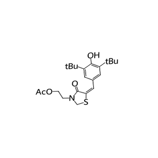 CC(=O)OCCN1CSC(=Cc2cc(C(C)(C)C)c(O)c(C(C)(C)C)c2)C1=O